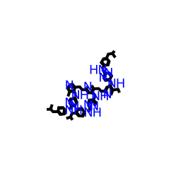 CCc1cnc(CCc2cnc(CCc3cncc(C)c3Nc3cnc(Nc4ccc(CC(C)C)cc4)nc3)cc2Nc2cnc(Nc3ccc(CC(C)C)cc3)nc2)cc1Nc1cnc(Nc2ccc(CC(C)C)cc2)nc1